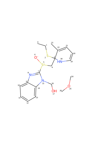 CCSC1(C[S+]([O-])c2nc3ccccc3n2CO)NC=CC=C1C.COC